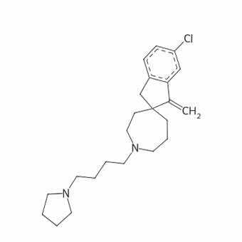 C=C1c2cc(Cl)ccc2CC12CCCN(CCCCN1CCCC1)CC2